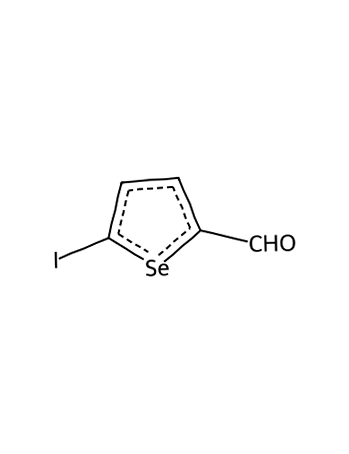 O=Cc1ccc(I)[se]1